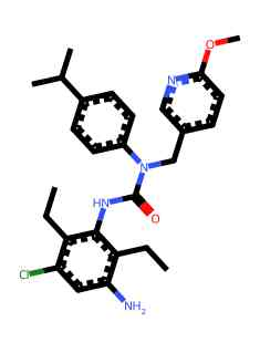 CCc1c(N)cc(Cl)c(CC)c1NC(=O)N(Cc1ccc(OC)nc1)c1ccc(C(C)C)cc1